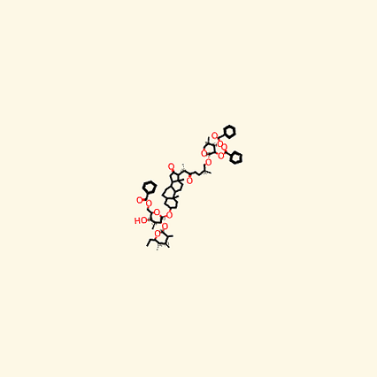 CCC1O[C@@H](OC2[C@H](OC3CCC4(C)C(CCC5C4CCC4(C)C5CC(=O)C4[C@H](C)C(=O)CC[C@H](C)CO[C@@H]4OC[C@@H](C)[C@H](OC(=O)c5ccccc5)C4OC(=O)c4ccccc4)C3)OC(COC(=O)c3ccccc3)[C@H](O)[C@@H]2C)C(C)[C@@H](C)[C@@H]1C